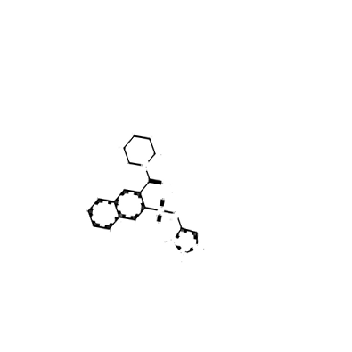 O=C(c1cc2ccccc2cc1S(=O)(=O)Nc1csnn1)N1CCCCC1